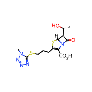 C[C@@H](O)[C@H]1C(=O)N2C(C(=O)O)=C(CCCSc3nnnn3C)S[C@H]12